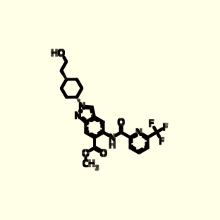 COC(=O)c1cc2nn([C@H]3CC[C@H](CCO)CC3)cc2cc1NC(=O)c1cccc(C(F)(F)F)n1